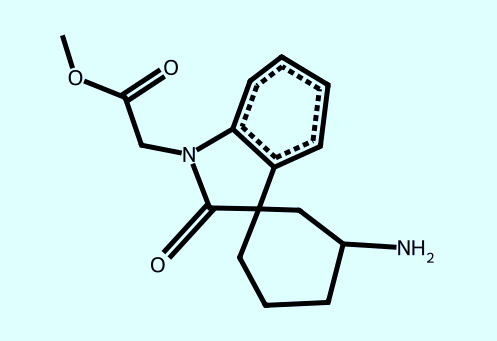 COC(=O)CN1C(=O)C2(CCCC(N)C2)c2ccccc21